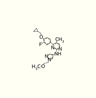 COCCn1cc(Nc2ncc(C)c(-c3ccc(OCC4CC4)c(F)c3)n2)cn1